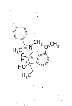 CCC(O)(c1cccc(OC)c1)[C@@H](C)CN(C)[C@H](C)c1ccccc1